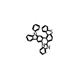 c1ccc(-n2c3ccccc3c3cc4c(cc32)c2c(ccc3sc5ccccc5c32)c2nc3ccccc3n42)cc1